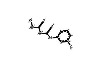 CCNC(=O)NC(=O)Nc1cccc(Cl)c1